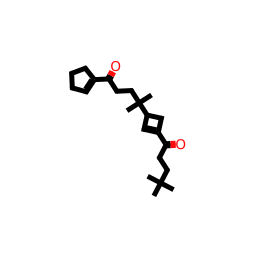 CC(C)(C)CCC(=O)C1=CC(C(C)(C)CCC(=O)C2=CCCC2)C1